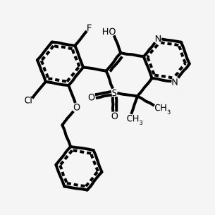 CC1(C)c2nccnc2C(O)=C(c2c(F)ccc(Cl)c2OCc2ccccc2)S1(=O)=O